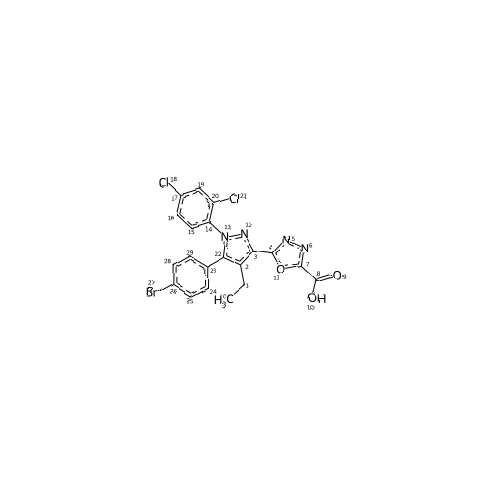 CCc1c(-c2nnc(C(=O)O)o2)nn(-c2ccc(Cl)cc2Cl)c1-c1ccc(Br)cc1